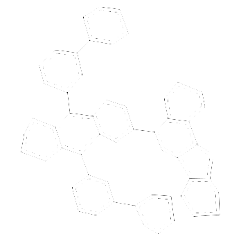 c1ccc(-c2cccc(-c3c4ccccc4c(-c4cccc(-c5ccccc5)c4)c4cc(-c5cc6c7ccccc7oc6c6ccccc56)ccc34)c2)cc1